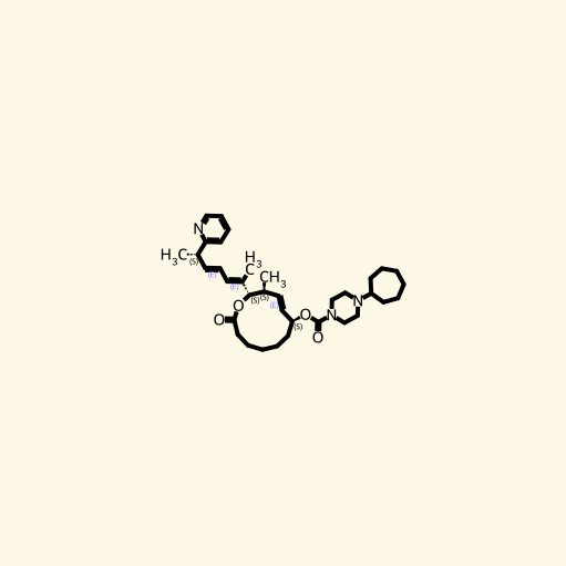 C/C(=C\C=C\[C@H](C)c1ccccn1)[C@H]1OC(=O)CCCCC[C@H](OC(=O)N2CCN(C3CCCCCC3)CC2)/C=C/[C@@H]1C